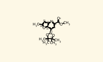 COC(=O)c1cc(B2OC(C)(C)C(C)(C)O2)c2oc(C)cc2n1